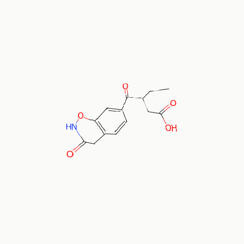 CCC(CC(=O)O)C(=O)c1ccc2c(c1)ONC(=O)C2